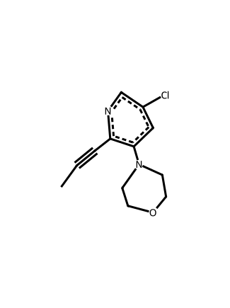 CC#Cc1ncc(Cl)cc1N1CCOCC1